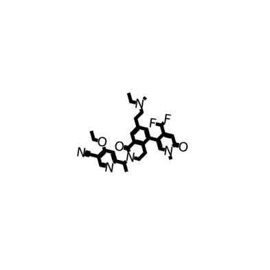 CCOc1cc(C(C)N2CCc3c(cc(CCN(C)CC)cc3-c3cn(C)c(=O)cc3C(F)F)C2=O)ncc1C#N